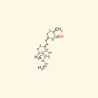 C=C1CC/C(=C/C=C2\CCCC3(C)C(CCC)CCC23)C[C@H]1O